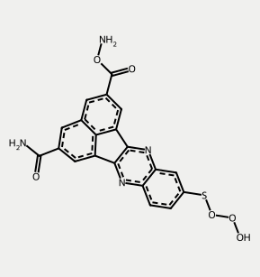 NOC(=O)c1cc2c3c(cc(C(N)=O)cc3c1)-c1nc3ccc(SOOO)cc3nc1-2